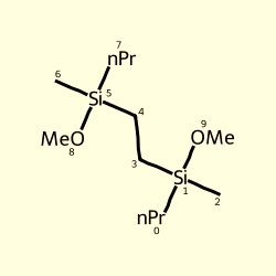 CCC[Si](C)(CC[Si](C)(CCC)OC)OC